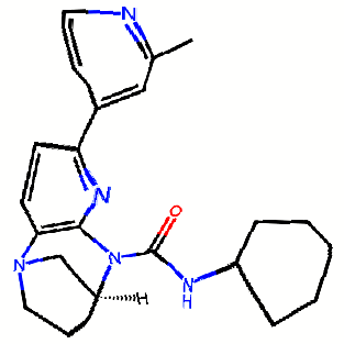 Cc1cc(-c2ccc3c(n2)N(C(=O)NC2CCCCC2)[C@H]2CCN3C2)ccn1